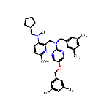 CCN(CC1CCCC1)c1ccc(OC)nc1CN(Cc1cc(C)cc(C(F)(F)F)c1)c1ncc(OCc2cc(C#N)cc(C(F)(F)F)c2)cn1